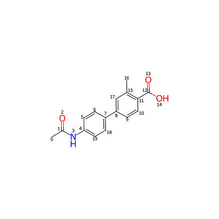 CC(=O)Nc1ccc(-c2ccc(C(=O)O)c(C)c2)cc1